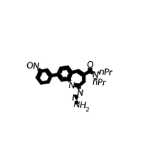 CCCN(CCC)C(=O)C1=Cc2ccc(C3=CC(N=O)=CCC3)cc2N=C(N=NN)C1